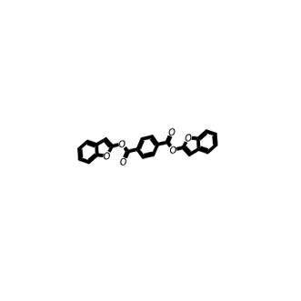 O=C(Oc1cc2ccccc2o1)c1ccc(C(=O)Oc2cc3ccccc3o2)cc1